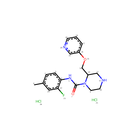 Cc1ccc(NC(=O)N2CCNCC2COc2cccnc2)c(F)c1.Cl.Cl